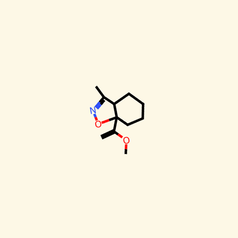 C=C(OC)C12CCCCC1C(C)=NO2